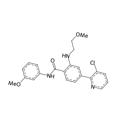 COCCNc1cc(-c2ncccc2Cl)ccc1C(=O)Nc1cccc(OC)c1